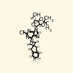 CC1(C)OC2C(O1)[C@@H](CO)O[C@H]2n1cnc2c(N3CC4(Cc5ccccc5C4)C3)nc(Cl)nc21